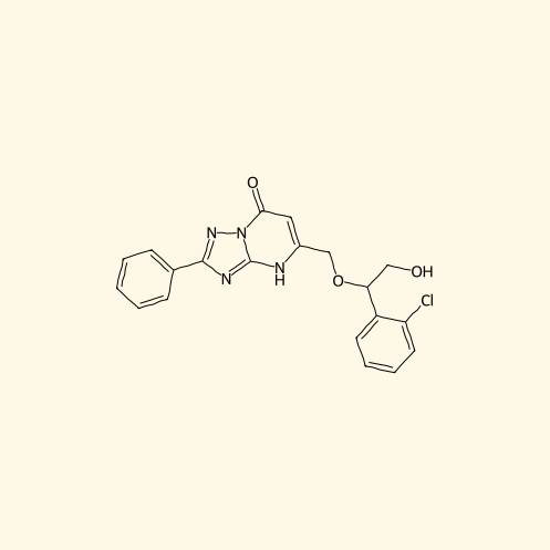 O=c1cc(COC(CO)c2ccccc2Cl)[nH]c2nc(-c3ccccc3)nn12